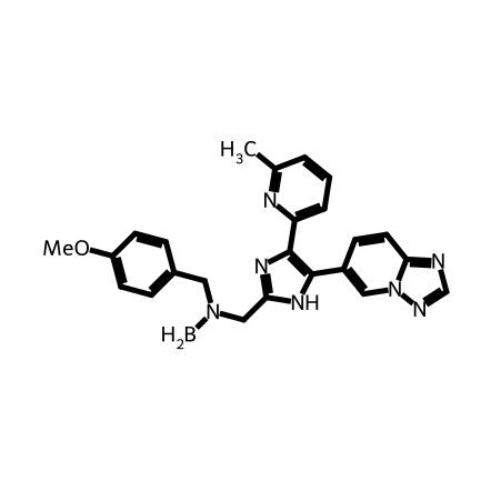 BN(Cc1ccc(OC)cc1)Cc1nc(-c2cccc(C)n2)c(-c2ccc3ncnn3c2)[nH]1